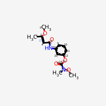 CO/C(C)=C\C(=O)Nc1cccc(OC(=O)N(C)OC)c1